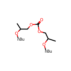 CCCCOC(C)COC(=O)OCC(C)OCCCC